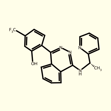 C[C@H](Nc1nnc(-c2ccc(C(F)(F)F)cc2O)c2ccccc12)c1ccccn1